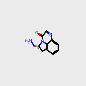 NC[C@@H]1Cc2cccc3ncc(=O)n1c23